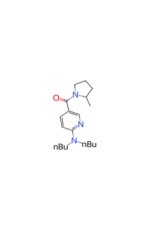 CCCCN(CCCC)c1ccc(C(=O)N2CCCC2C)cn1